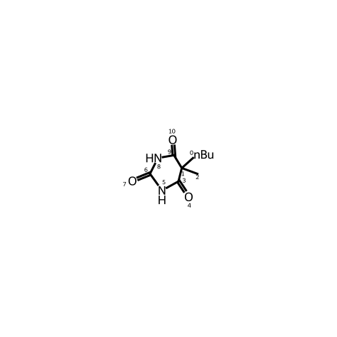 CCCCC1(C)C(=O)NC(=O)NC1=O